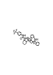 O=C(Nc1ccc(C(F)(F)F)cc1)N[C@@H]1CCCC[C@@H]1C(=O)N1CC[C@H]2[C@H](c3ccccc3)Nc3ccccc3[C@@H]21